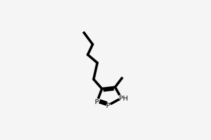 CCCCCc1pp[pH]c1C